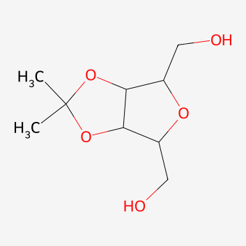 CC1(C)OC2C(CO)OC(CO)C2O1